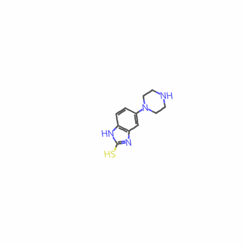 Sc1nc2cc(N3CCNCC3)ccc2[nH]1